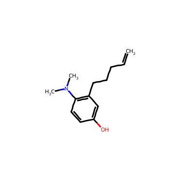 C=CCCCc1cc(O)ccc1N(C)C